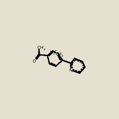 C\C=C(/C=C\C(=C/C)c1ccccn1)C(C)=O